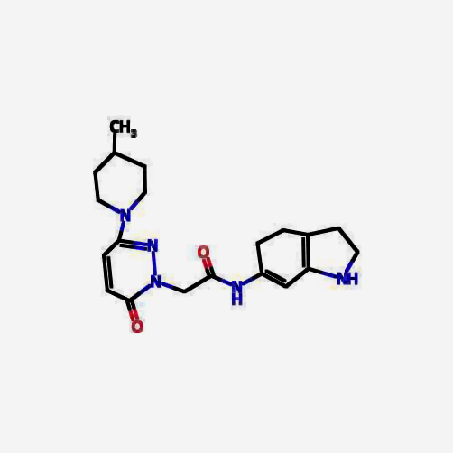 CC1CCN(c2ccc(=O)n(CC(=O)NC3=CC4=C(CCN4)CC3)n2)CC1